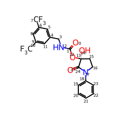 O=C(NCc1cc(C(F)(F)F)cc(C(F)(F)F)c1)O[C@@]1(O)CCN(c2ccccc2)C1=O